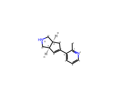 Cc1ncccc1C1=C[C@H]2CNC[C@H]2C1